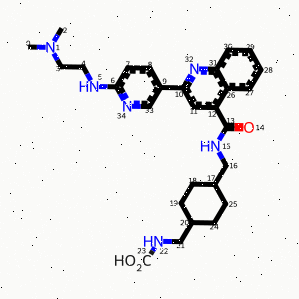 CN(C)CCNc1ccc(-c2cc(C(=O)NCC3CCC(CNC(=O)O)CC3)c3ccccc3n2)cn1